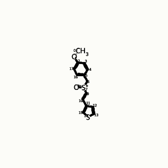 COc1ccc(C[S+]([O-])C=Cc2ccsc2)cc1